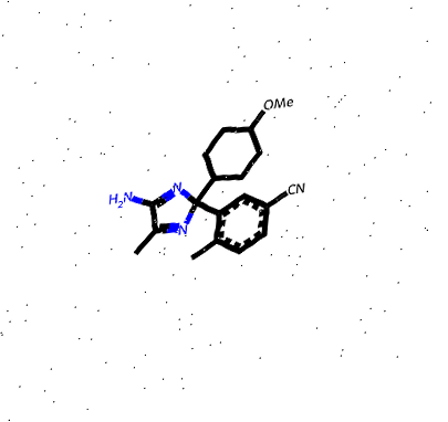 COC1CCC(C2(c3cc(C#N)ccc3C)N=C(C)C(N)=N2)CC1